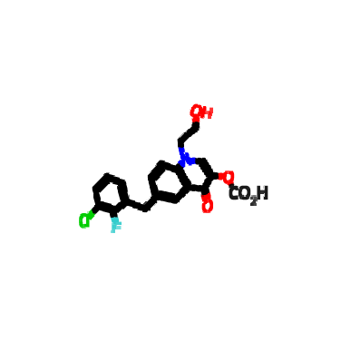 O=C(O)Oc1cn(CCO)c2ccc(Cc3cccc(Cl)c3F)cc2c1=O